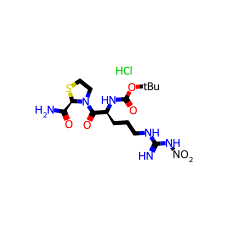 CC(C)(C)OC(=O)N[C@@H](CCCNC(=N)N[N+](=O)[O-])C(=O)N1CCS[C@@H]1C(N)=O.Cl